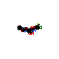 O=C(COc1ccc(Cl)c(F)c1)NC12CCC(NC(=O)c3coc(-c4ccccc4)n3)(CC1)C[C@@H]2O